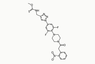 COC(=S)NCc1cn(-c2cc(F)c(N3CCN(C(=O)Cc4ccccc4[N+](=O)[O-])CC3)c(F)c2)nn1